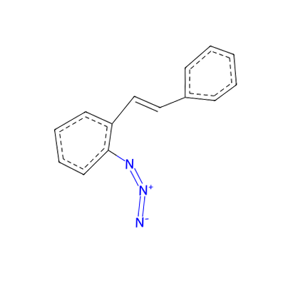 [N-]=[N+]=Nc1ccccc1C=Cc1ccccc1